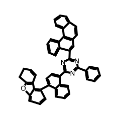 C1=Cc2c(oc3cccc(-c4ccc(-c5nc(-c6ccccc6)nc(-c6cc7ccc8ccccc8c7c7ccccc67)n5)c5ccccc45)c23)CC1